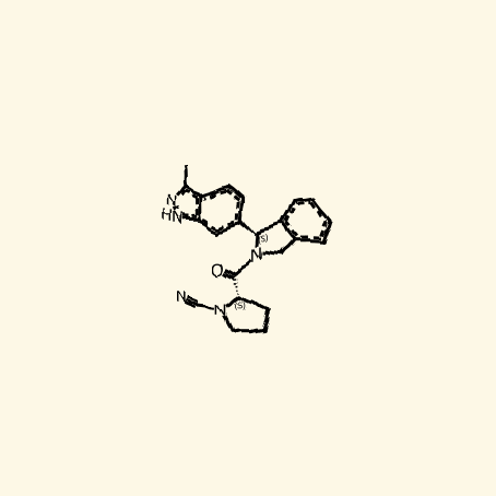 Cc1n[nH]c2cc([C@H]3c4ccccc4CN3C(=O)[C@@H]3CCCN3C#N)ccc12